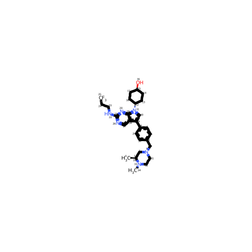 C[C@H]1CN(Cc2ccc(-c3cn([C@H]4CC[C@H](O)CC4)c4nc(NCCC(F)(F)F)ncc34)cc2)CCN1C